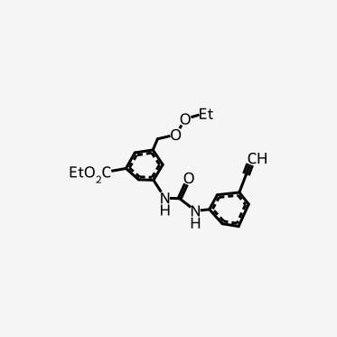 C#Cc1cccc(NC(=O)Nc2cc(COOCC)cc(C(=O)OCC)c2)c1